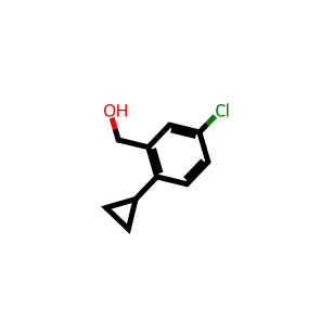 OCc1cc(Cl)ccc1C1CC1